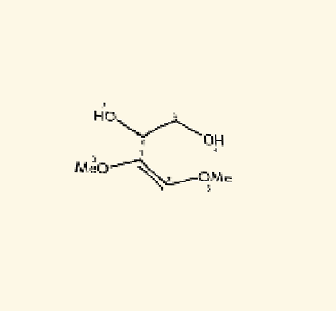 CO/C=C/OC.OCCO